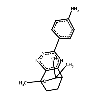 CC12CCC(c3nc(-c4ccc(N)cc4)nnc31)C(C)(C)O2